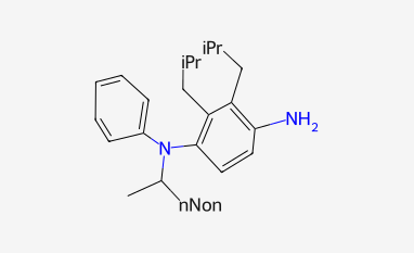 CCCCCCCCCC(C)N(c1ccccc1)c1ccc(N)c(CC(C)C)c1CC(C)C